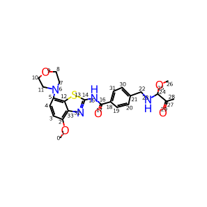 COc1ccc(N2CCOCC2)c2sc(NC(=O)c3ccc(CNC(OC)C(C)=O)cc3)nc12